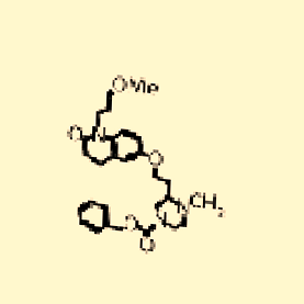 COCCCN1C(=O)CCc2cc(OCC[C@@H]3CN(C(=O)OCc4ccccc4)CCN3C)ccc21